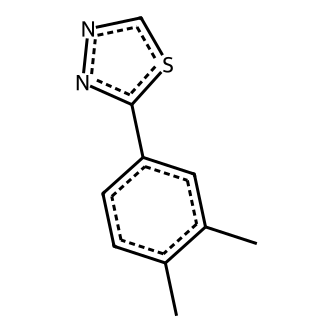 Cc1ccc(-c2nncs2)cc1C